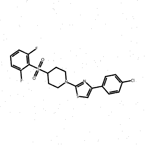 O=S(=O)(c1c(F)cccc1F)C1CCN(c2nc(-c3ccc(Cl)cc3)cs2)CC1